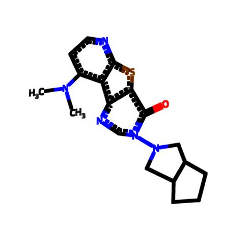 CN(C)c1ccnc2sc3c(=O)n(N4CC5CCCC5C4)cnc3c12